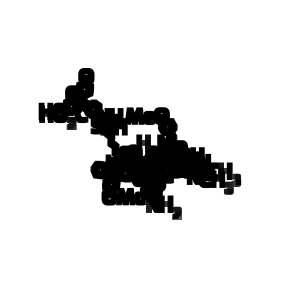 COc1ccc(C[C@H](N)C(=O)N[C@H]2[C@@H](O)[C@H](n3cnc4c(N(C)C)ncnc43)O[C@@H]2COP(=O)(O)O[C@H]2C[C@H](n3ccc(N)nc3=O)O[C@@H]2COP(=O)(O)OC(CCCCCNC(=S)Nc2ccc(-c3c4ccc(=O)cc-4oc4cc(O)ccc34)c(C(=O)O)c2)COC(c2ccccc2)(c2ccc(OC)cc2)c2ccc(OC)cc2)cc1